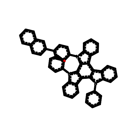 c1ccc(-n2c3ccccc3c3c4c5ccccc5n(-c5ccc(-c6ccc7ccccc7c6)cc5)c4c4c(c5ccccc5n4-c4ccccc4)c32)cc1